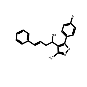 Cc1noc(-c2ccc(Br)cc2)c1C(O)CC=Cc1ccccc1